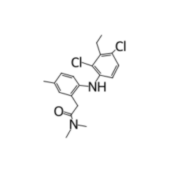 CCc1c(Cl)ccc(Nc2ccc(C)cc2CC(=O)N(C)C)c1Cl